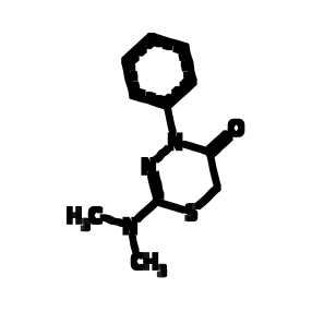 CN(C)C1=NN(c2ccccc2)C(=O)CS1